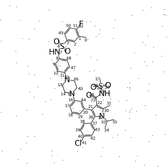 Cc1cc(S(=O)(=O)Nc2ccc(N3CCN(c4cccc(-c5c(C(=O)NS(C)(=O)=O)c(C)n(C(C)C)c5-c5ccc(Cl)cc5)c4)CC3)cc2)ccc1F